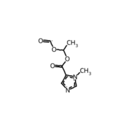 CC(O[C]=O)OC(=O)c1cncn1C